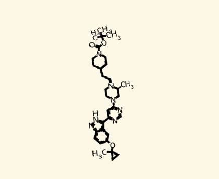 C[C@H]1CN(c2cc(-c3[nH]nc4ccc(OC5(C)CC5)cc34)ncn2)CCN1CCC1CCN(C(=O)OC(C)(C)C)CC1